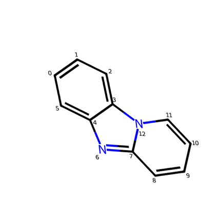 c1ccc2c(c1)nc1ccccn12